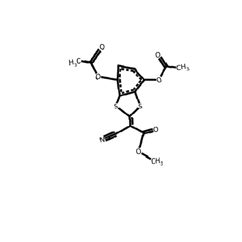 COC(=O)C(C#N)=C1Sc2c(OC(C)=O)ccc(OC(C)=O)c2S1